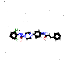 O=C(CCc1ccccc1)Nc1ccc(N2CCN(C(=O)Nc3c(Cl)cccc3Cl)CC2)cc1